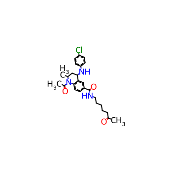 CC(=O)CCCCCNC(=O)c1ccc2c(c1)C(Nc1ccc(Cl)cc1)CC(C)N2C(C)=O